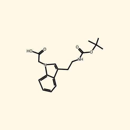 CC(C)(C)OC(=O)NCCc1cn(CC(=O)O)c2ccccc12